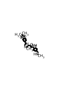 CNCc1ccc(C2C=C(C3N=C(c4ccc(S(=O)(=O)C(C)C)cc4)C=NC3C)ON2)c(F)c1